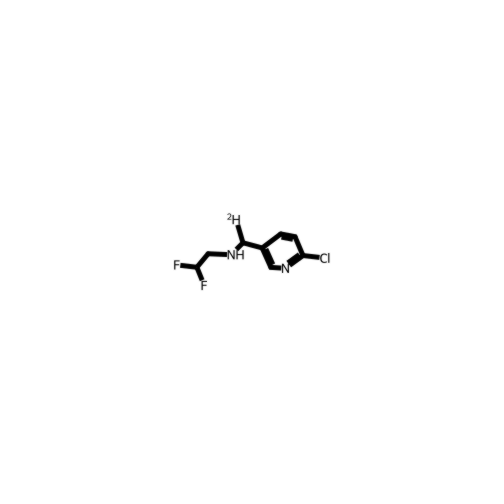 [2H]C(NCC(F)F)c1ccc(Cl)nc1